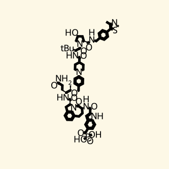 Cc1ncsc1-c1ccc(CNC(=O)[C@@H]2C[C@@H](O)CN2C(=O)[C@@H](NC(=O)C2CCN(c3ccc(CO[C@H](C)[C@H](CCC(N)=O)NC(=O)[C@@H]4Cc5cccc6c5N4C(=O)[C@@H](NC(=O)c4cc5cc(C(=O)P(=O)(O)O)ccc5[nH]4)CC6)cc3)CC2)C(C)(C)C)cc1